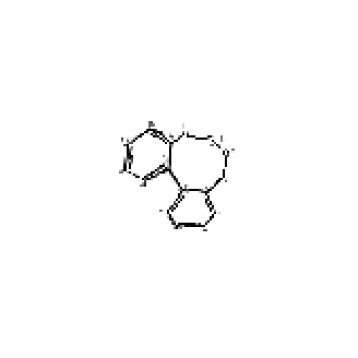 c1ccc2c(c1)CO[SiH2]Oc1ccccc1-2